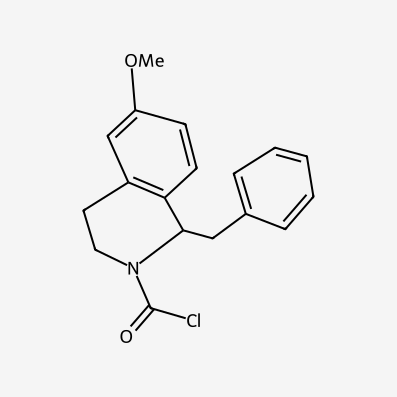 COc1ccc2c(c1)CCN(C(=O)Cl)C2Cc1ccccc1